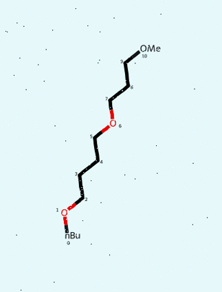 CCCCOCCCCOCCCOC